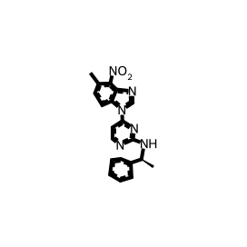 Cc1ccc2c(ncn2-c2ccnc(N[C@@H](C)c3ccccc3)n2)c1[N+](=O)[O-]